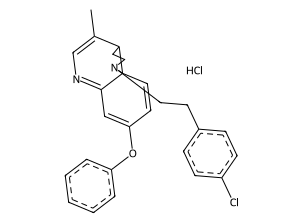 CC1=CN=C2C=C(Oc3ccccc3)C=CC23C1CCN3CCc1ccc(Cl)cc1.Cl